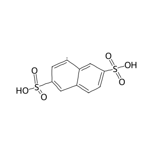 O=S(=O)(O)c1ccc2cc(S(=O)(=O)O)c[c]c2c1